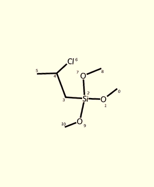 CO[Si](CC(C)Cl)(OC)OC